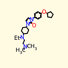 CCN(CCN(C)C)C1CCC(n2ccn(-c3ccc(OC4CCCC4)cc3)c2=O)CC1